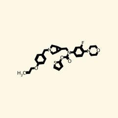 C=CCOc1ccc(CN2CC3C(C2)C3CN(C(=O)Oc2cccs2)c2ccc(N3CCOCC3)c(F)c2)cc1